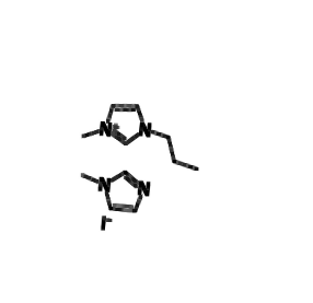 CCCn1cc[n+](C)c1.Cn1ccnc1.[I-]